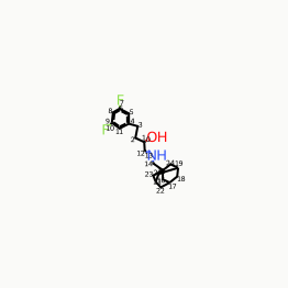 OC(CCc1cc(F)cc(F)c1)CNCC12CC3CC(CC(C3)C1)C2